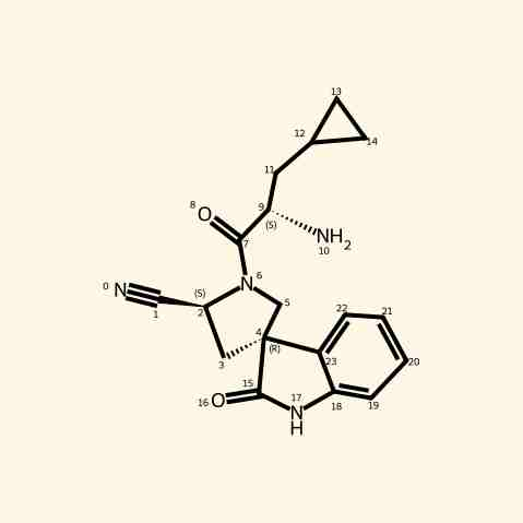 N#C[C@@H]1C[C@@]2(CN1C(=O)[C@@H](N)CC1CC1)C(=O)Nc1ccccc12